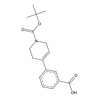 CC(C)(C)OC(=O)N1CC=C(c2cccc(C(=O)O)c2)CC1